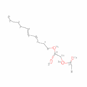 CCCC/C=C/CCCCOC(=O)COC(C)=O